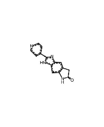 O=C1Cc2cc3nc(-c4ccncc4)[nH]c3cc2N1